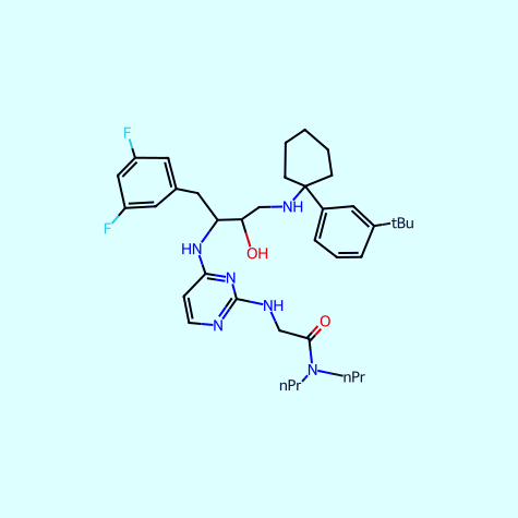 CCCN(CCC)C(=O)CNc1nccc(NC(Cc2cc(F)cc(F)c2)C(O)CNC2(c3cccc(C(C)(C)C)c3)CCCCC2)n1